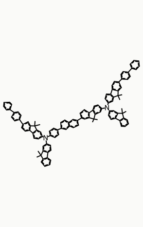 CC1(C)c2ccccc2-c2ccc(N(c3ccc(-c4ccc5cc(-c6ccc7c(c6)C(C)(C)c6cc(N(c8ccc9c(c8)C(C)(C)c8ccccc8-9)c8ccc9c(c8)C(C)(C)c8cc(-c%10ccc(-c%11ccccc%11)cc%10)ccc8-9)ccc6-7)ccc5c4)cc3)c3ccc4c(c3)C(C)(C)c3cc(-c5ccc(-c6ccccc6)cc5)ccc3-4)cc21